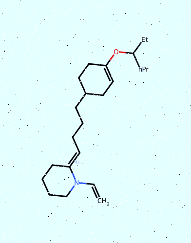 C=CN1CCCC/C1=C\CCCC1CC=C(OC(CC)CCC)CC1